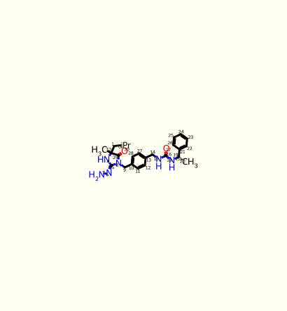 CC(C)CC1(C)NC(=NN)N(Cc2ccc(CNC(=O)N[C@@H](C)c3ccccc3)cc2)C1=O